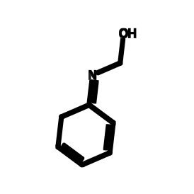 OCN=C1C=CC=CC1